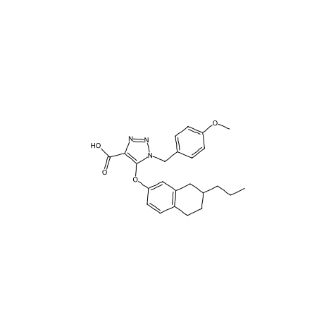 CCCC1CCc2ccc(Oc3c(C(=O)O)nnn3Cc3ccc(OC)cc3)cc2C1